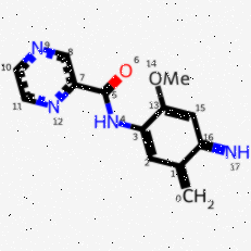 C=C1C=C(NC(=O)c2cnccn2)C(OC)=CC1=N